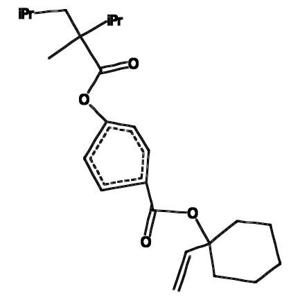 C=CC1(OC(=O)c2ccc(OC(=O)C(C)(CC(C)C)C(C)C)cc2)CCCCC1